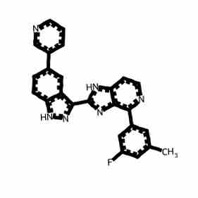 Cc1cc(F)cc(-c2nccc3[nH]c(-c4n[nH]c5ccc(-c6cccnc6)cc45)nc23)c1